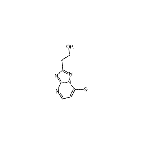 OCCc1nc2nccc([S])n2n1